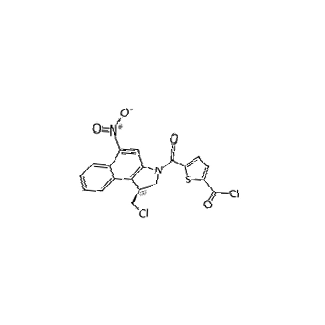 O=C(Cl)c1ccc(C(=O)N2C[C@@H](CCl)c3c2cc([N+](=O)[O-])c2ccccc32)s1